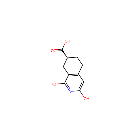 O=C(O)[C@H]1CCc2cc(O)nc(O)c2C1